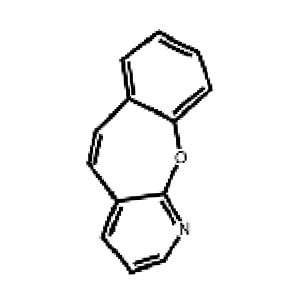 C1=Cc2cccnc2Oc2ccccc21